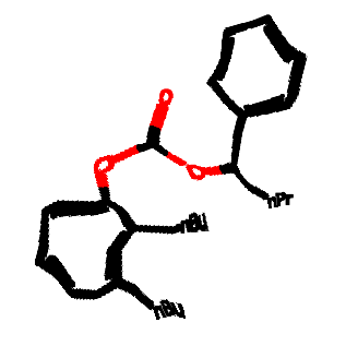 CCCCc1cccc(OC(=O)OC(CCC)c2ccccc2)c1CCCC